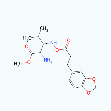 COC(=O)[C@@H](N)C(NOC(=O)CCc1ccc2c(c1)OCO2)C(C)C